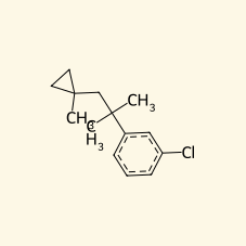 CC1(CC(C)(C)c2cccc(Cl)c2)CC1